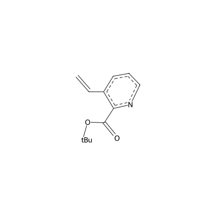 C=Cc1cccnc1C(=O)OC(C)(C)C